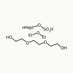 CCCCCCCOS(=O)(=O)O.CCOCC.OCCOCCOCCO